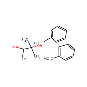 CC(C)C(O)C(C)(C)O.O=C(O)c1ccccc1.O=C(O)c1ccccc1